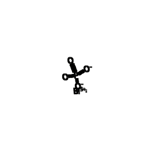 O=P([O-])([O-])[O-].[Bi+3]